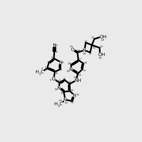 Cc1cc(C#N)ncc1Oc1cc(Nc2ccc(C(=O)N3CC(CO)(CO)C3)cn2)c2ncn(C)c2n1